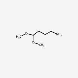 CO[C](CCCN)OC